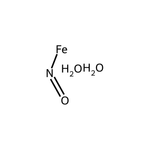 O.O.O=[N][Fe]